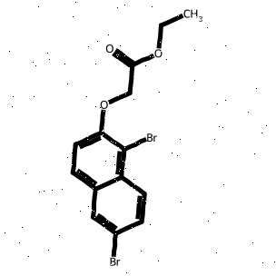 CCOC(=O)COc1ccc2cc(Br)ccc2c1Br